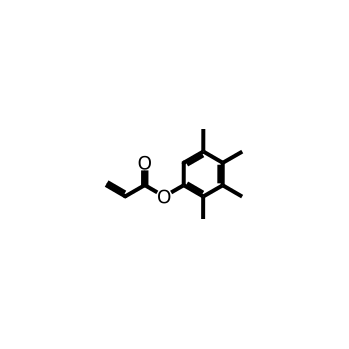 C=CC(=O)Oc1cc(C)c(C)c(C)c1C